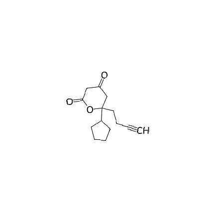 C#CCCC1(C2CCCC2)CC(=O)CC(=O)O1